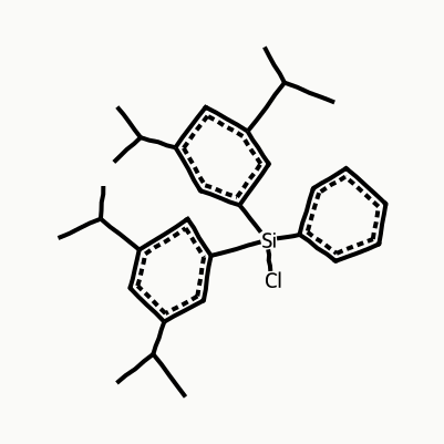 CC(C)c1cc(C(C)C)cc([Si](Cl)(c2ccccc2)c2cc(C(C)C)cc(C(C)C)c2)c1